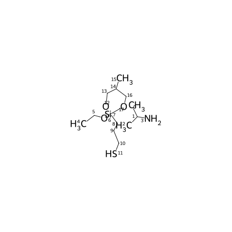 CC(C)N.CCO[Si]1(CCCS)OCC(C)CO1